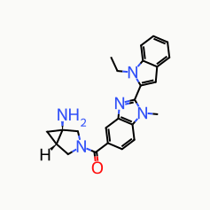 CCn1c(-c2nc3cc(C(=O)N4C[C@@H]5C[C@]5(N)C4)ccc3n2C)cc2ccccc21